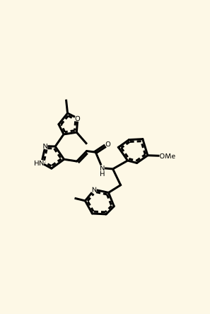 COc1cccc(C(Cc2cccc(C)n2)NC(=O)/C=C/c2c[nH]nc2-c2cc(C)oc2C)c1